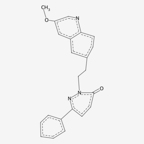 COc1cnc2ccc(CCn3nc(-c4ccccc4)ccc3=O)cc2c1